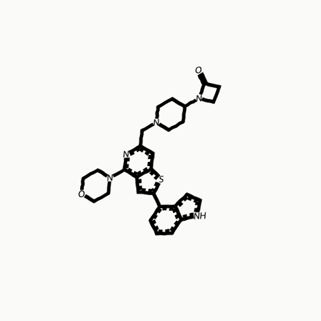 O=C1CCN1C1CCN(Cc2cc3sc(-c4cccc5[nH]ccc45)cc3c(N3CCOCC3)n2)CC1